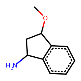 COC1CC(N)c2ccccc21